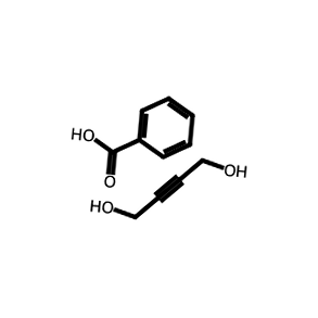 O=C(O)c1ccccc1.OCC#CCO